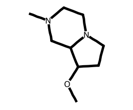 COC1CCN2CCN(C)CC12